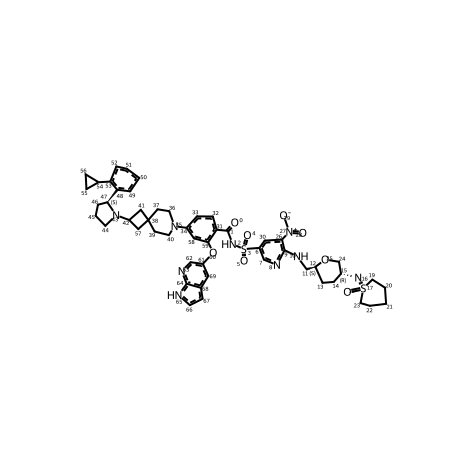 O=C(NS(=O)(=O)c1cnc(NC[C@@H]2CC[C@@H](N=S3(=O)CCCCC3)CO2)c([N+](=O)[O-])c1)c1ccc(N2CCC3(CC2)CC(N2CCC[C@H]2c2ccccc2C2CC2)C3)cc1Oc1cnc2[nH]ccc2c1